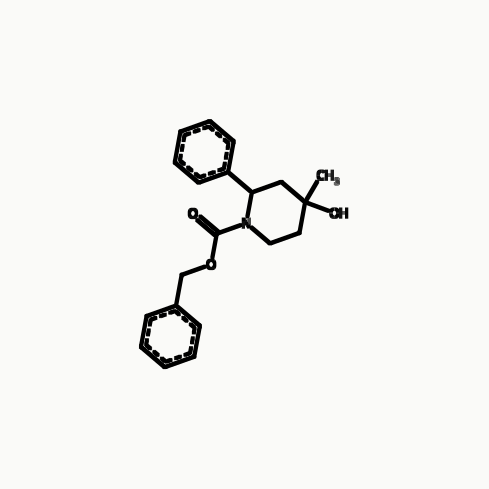 CC1(O)CCN(C(=O)OCc2ccccc2)C(c2ccccc2)C1